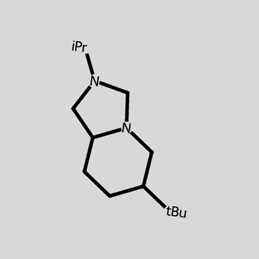 CC(C)N1CC2CCC(C(C)(C)C)CN2C1